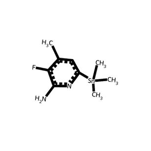 Cc1c[c]([Sn]([CH3])([CH3])[CH3])nc(N)c1F